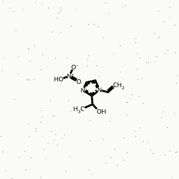 C=Cn1ccnc1C(C)O.O=[N+]([O-])O